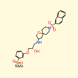 CNS(=O)(=O)c1cccc(OC[C@@H](O)CNC2COC3(CCN(S(=O)(=O)c4ccc5ccccc5c4)CC3)C2)c1